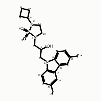 O=S1(=O)N(CC(O)Cn2c3ccc(F)cc3c3cc(F)ccc32)CCN1C1CCC1